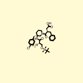 CC(C)(C)[Si](C)(C)OC[C@H](N)C(=O)N[C@@]1(Cc2ccc(Cl)cc2)CCCN(C(=O)[C@@H](CC(=O)O)Cc2ccccc2)C1